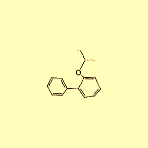 [CH2]C(C)Oc1ccccc1-c1ccccc1